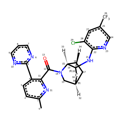 Cc1ccc(-c2ncccn2)c(C(=O)N2C[C@@H]3CC[C@H]2[C@H](Nc2ncc(C(F)(F)F)cc2Cl)C3)n1